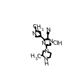 CC1CN(c2cnc(C#N)c(-c3cnn(C)c3)n2)CCN1.Cl